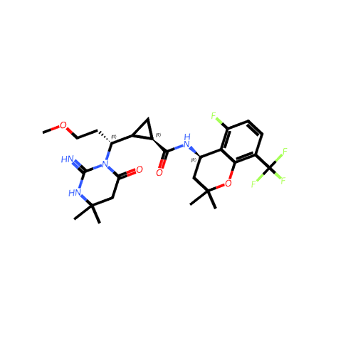 COCC[C@H](C1C[C@H]1C(=O)N[C@@H]1CC(C)(C)Oc2c(C(F)(F)F)ccc(F)c21)N1C(=N)NC(C)(C)CC1=O